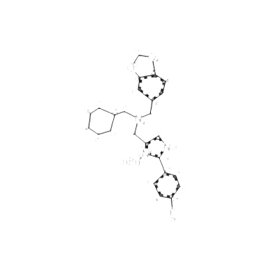 CCCCn1c(CN(Cc2ccc3c(c2)OCO3)CC2CCCCC2)cnc1-c1ccc(F)cc1